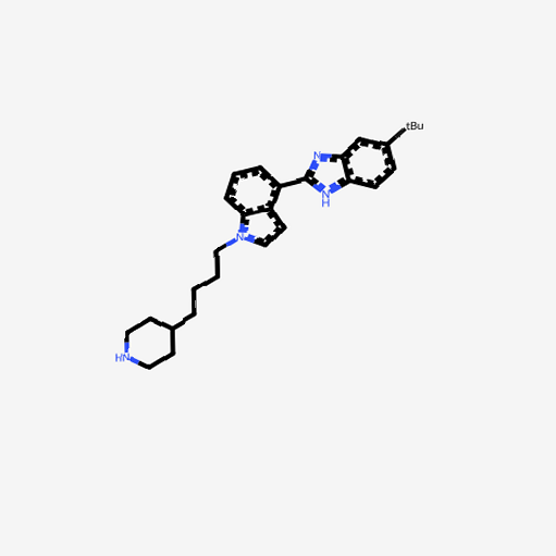 CC(C)(C)c1ccc2[nH]c(-c3cccc4c3ccn4CCCCC3CCNCC3)nc2c1